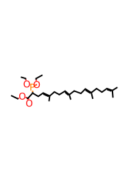 CCOC(=O)C(C/C=C(\C)CC/C=C(\C)CC/C=C(\C)CCC=C(C)C)P(OCC)OCC